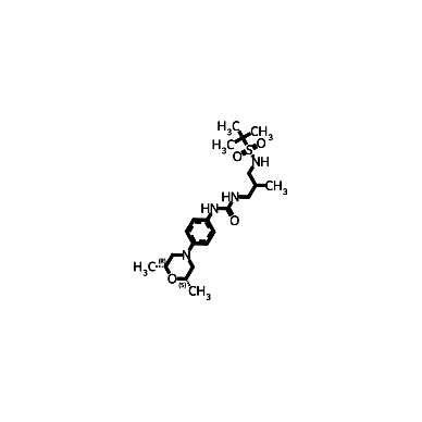 CC(CNC(=O)Nc1ccc(N2C[C@@H](C)O[C@@H](C)C2)cc1)CNS(=O)(=O)C(C)(C)C